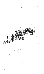 CNc1cc2c(=O)n(C)cc(-c3cc(OC)c(CN4CC(C(=O)NCCCCCOc5cccc6c5C(=O)N(C5CCC(=O)NC5=O)C6=O)C4)c(OC)c3)c2cn1.O=CO